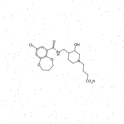 O=C(O)CCCN1CCC(C[AsH]C(=O)c2cc(Cl)cc3c2OCCCO3)C(O)C1